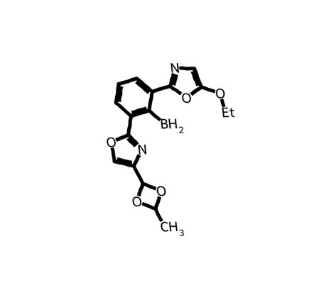 Bc1c(-c2nc(C3OC(C)O3)co2)cccc1-c1ncc(OCC)o1